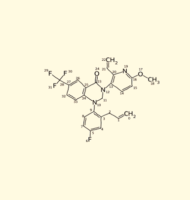 C=CCc1cc(F)ccc1N1CN(c2ccc(OC)nc2C=C)C(=O)c2cc(C(F)(F)F)ccc21